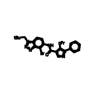 CCCc1c(C(=O)Nc2ccc3c(nnn3CC(C)(C)C)c2Br)cnn1-c1ccccc1